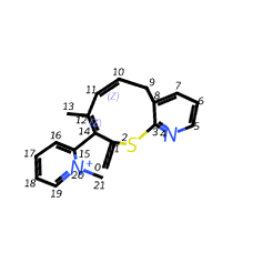 C=C1Sc2ncccc2C/C=C\C(C)=C/1c1cccc[n+]1C